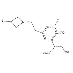 CCOC(=O)C(CC(C)CC)n1cc(CCN2CC(F)C2)cc(F)c1=O